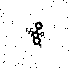 FC(F)(F)c1nc2ccc(I)cc2c(Cl)c1-c1ccccc1